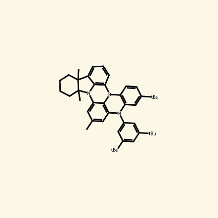 Cc1cc2c3c(c1)N1c4c(cccc4C4(C)CCCCC14C)B3c1ccc(C(C)(C)C)cc1N2c1cc(C(C)(C)C)cc(C(C)(C)C)c1